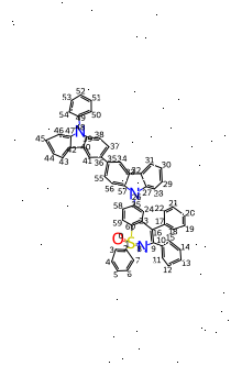 O=S1(c2ccccc2)=NC(c2ccccc2)=C(c2ccccc2)c2cc(-n3c4ccccc4c4cc(-c5ccc6c(c5)c5ccccc5n6-c5ccccc5)ccc43)ccc21